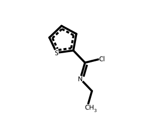 CCN=C(Cl)c1cccs1